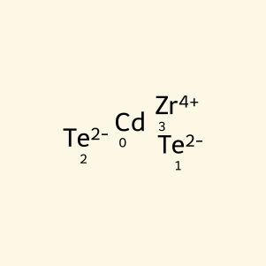 [Cd].[Te-2].[Te-2].[Zr+4]